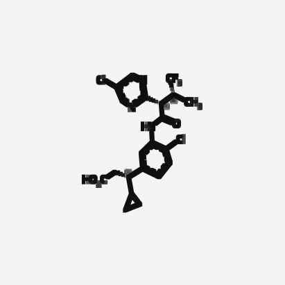 C[C@H]([C@H](C(=O)Nc1cc([C@@H](CC(=O)O)C2CC2)ccc1Cl)c1ncc(Cl)cn1)C(F)(F)F